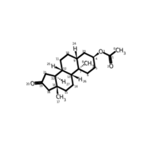 CC(=O)O[C@H]1CC[C@]2(C)[C@H](CC[C@@H]3[C@H]2CC[C@]2(C)CC(=O)C[C@@H]32)C1